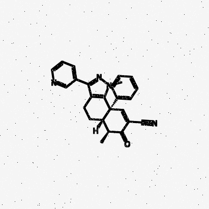 C[C@@H]1C(=O)C(C#N)=C[C@]2(c3ccccc3)c3c(c(-c4cccnc4)nn3C)CC[C@@H]12